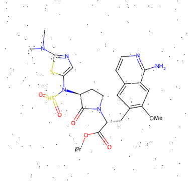 COc1cc2c(N)nccc2cc1C[C@H](C(=O)OC(C)C)N1CC[C@H](N(c2cnc(N(C)C)s2)[SH](=O)=O)C1=O